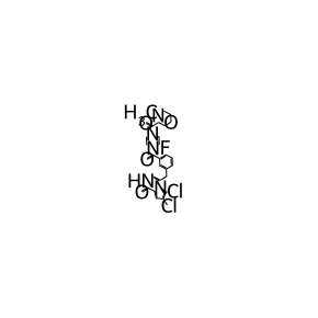 CN1CCOCC1C(=O)N1CCN(C(=O)c2cc(Cc3c[nH]c(=O)c4cc(Cl)c(Cl)n34)ccc2F)CC1